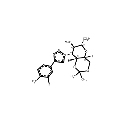 CO[C@@H]1[C@@H](n2cc(-c3ccc(C(F)(F)F)c(F)c3)nn2)[C@H]2OC(C)(C)OC[C@H]2O[C@H]1C(=O)O